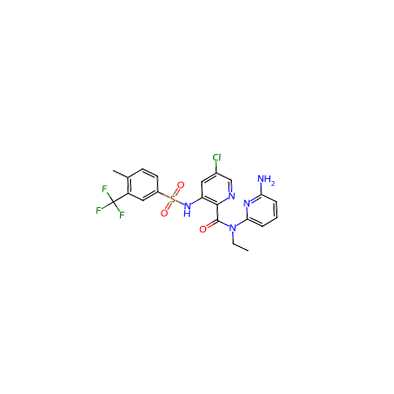 CCN(C(=O)c1ncc(Cl)cc1NS(=O)(=O)c1ccc(C)c(C(F)(F)F)c1)c1cccc(N)n1